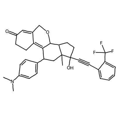 CN(C)c1ccc(C2CC3(C)C(CCC3(O)C#Cc3ccccc3C(F)(F)F)C3OCC4=CC(=O)CCC4=C23)cc1